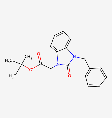 CC(C)(C)OC(=O)Cn1c(=O)n(Cc2ccccc2)c2ccccc21